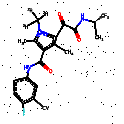 [2H]C([2H])([2H])n1c(C)c(C(=O)Nc2ccc(F)c(C#N)c2)c(C)c1C(=O)C(=O)N[C@@H](C)C(F)(F)F